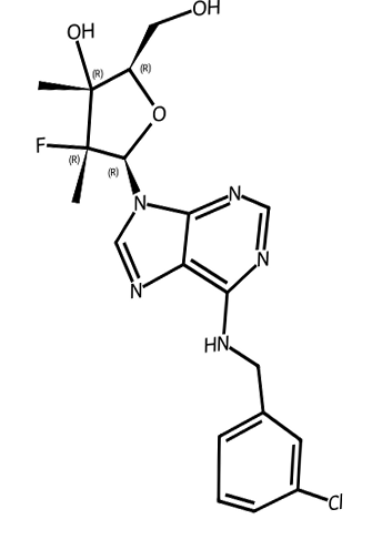 C[C@]1(F)[C@H](n2cnc3c(NCc4cccc(Cl)c4)ncnc32)O[C@H](CO)[C@@]1(C)O